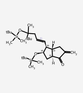 C=C1C[C@H]2[C@H](/C=C/CC(C)(CCCC)O[Si](C)(C)C(C)(C)C)[C@H](O[Si](C)(C)C(C)(C)C)C[C@@H]2C1=O